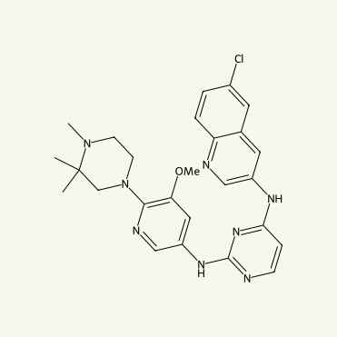 COc1cc(Nc2nccc(Nc3cnc4ccc(Cl)cc4c3)n2)cnc1N1CCN(C)C(C)(C)C1